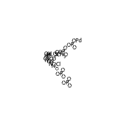 C[Si](C)(C)CCOCn1c(O[C@@H]2CO[C@H]3[C@@H]2OC[C@H]3O)nc2nc(C3=CCCC3)c(Cl)cc21.[Pd].c1ccc(P(c2ccccc2)c2ccccc2)cc1.c1ccc(P(c2ccccc2)c2ccccc2)cc1.c1ccc(P(c2ccccc2)c2ccccc2)cc1.c1ccc(P(c2ccccc2)c2ccccc2)cc1